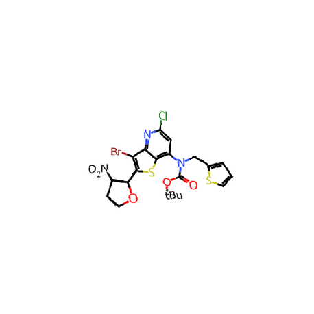 CC(C)(C)OC(=O)N(Cc1cccs1)c1cc(Cl)nc2c(Br)c(C3OCCC3[N+](=O)[O-])sc12